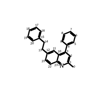 Cc1cc(-c2ccccc2)c2cc(CCc3ccccc3)ccc2n1